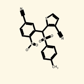 Cc1ccc(S(=O)(=O)C(c2cc(C#N)ccc2[N+](=O)[O-])c2sccc2C#N)cc1